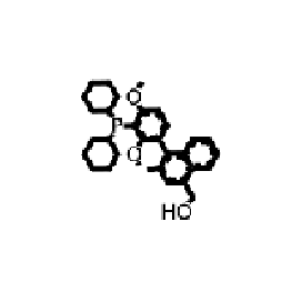 COc1ccc(-c2c(C)cc(CO)c3ccccc23)c(OC)c1P(C1CCCCC1)C1CCCCC1